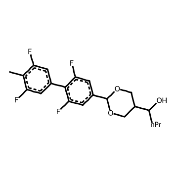 CCCC(O)C1COC(c2cc(F)c(-c3cc(F)c(C)c(F)c3)c(F)c2)OC1